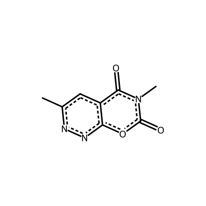 Cc1cc2c(=O)n(C)c(=O)oc2nn1